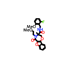 COCCN1C(=O)c2oc3ccccc3c2OCC1(C)C(=O)NCc1c(F)cccc1OC